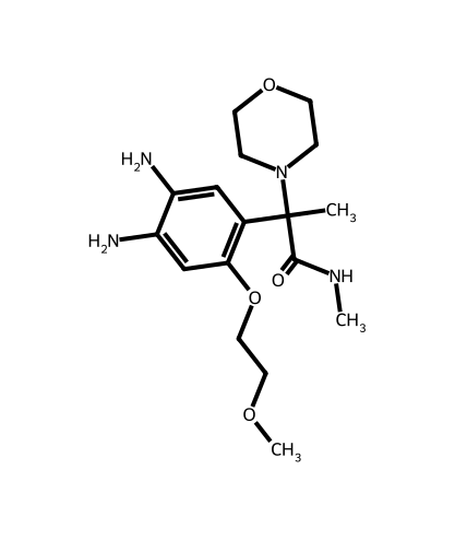 CNC(=O)C(C)(c1cc(N)c(N)cc1OCCOC)N1CCOCC1